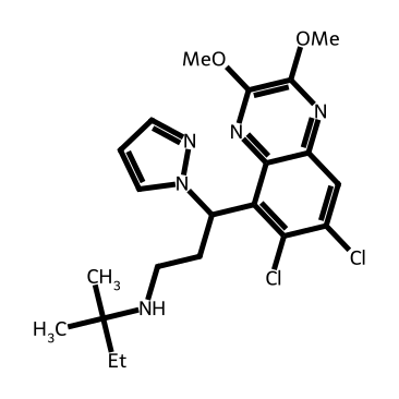 CCC(C)(C)NCCC(c1c(Cl)c(Cl)cc2nc(OC)c(OC)nc12)n1cccn1